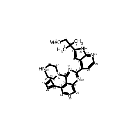 COCC(C)(C)c1cc2c(-c3nc(N4CCNCC4)c4c(C5=CC=C5)cncc4n3)ccnc2[nH]1